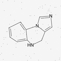 c1ccc2c(c1)NCc1cncn1-2